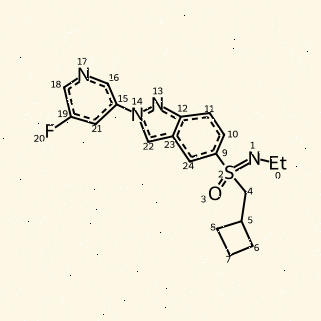 CCN=S(=O)(CC1CCC1)c1ccc2nn(-c3cncc(F)c3)cc2c1